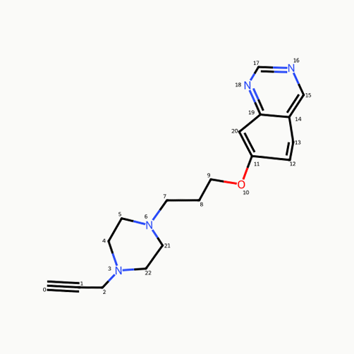 C#CCN1CCN(CCCOc2ccc3cncnc3c2)CC1